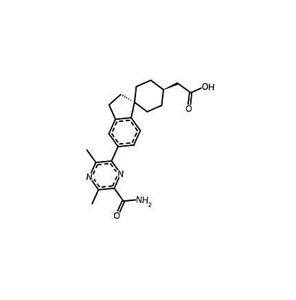 Cc1nc(C)c(-c2ccc3c(c2)CC[C@]32CC[C@H](CC(=O)O)CC2)nc1C(N)=O